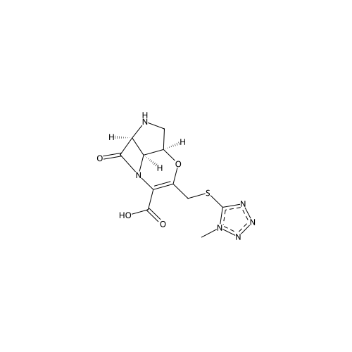 Cn1nnnc1SCC1=C(C(=O)O)N2C(=O)[C@H]3NC[C@@H](O1)[C@H]32